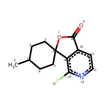 CC1CCC2(CC1)OC(=O)c1ccnc(F)c12